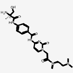 CN(C)CCN(C)C(=O)Cn1ccc(NC(=O)c2ccc(NC(=O)[C@@](C)(N)CO)cc2)nc1=O